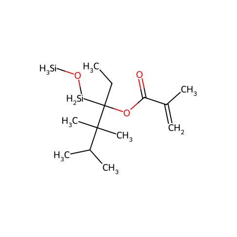 C=C(C)C(=O)OC(CC)([SiH2]O[SiH3])C(C)(C)C(C)C